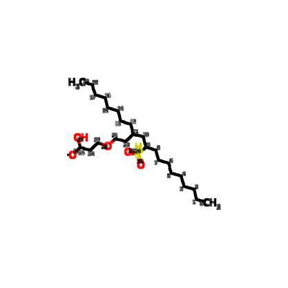 CCCCCCCCCC(CC(CCCCCCCC)CCOCCC([O])O)[SH](=O)=O